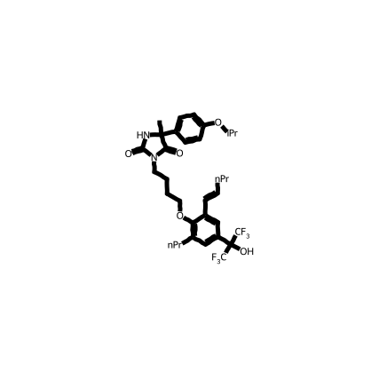 CCC/C=C/c1cc(C(O)(C(F)(F)F)C(F)(F)F)cc(CCC)c1OCCCCN1C(=O)NC(C)(c2ccc(OC(C)C)cc2)C1=O